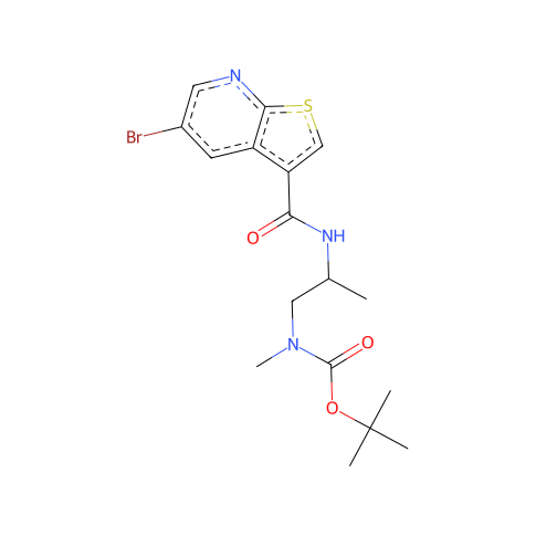 CC(CN(C)C(=O)OC(C)(C)C)NC(=O)c1csc2ncc(Br)cc12